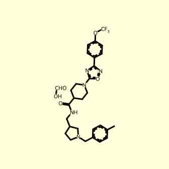 Cc1ccc(CN2CCC(CNC(=O)C3CCN(c4nc(-c5ccc(OC(F)(F)F)cc5)no4)CC3)C2)cc1.O=CO